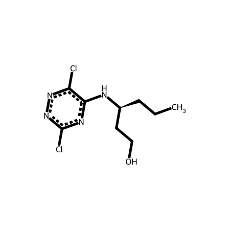 CCC[C@@H](CCO)Nc1nc(Cl)nnc1Cl